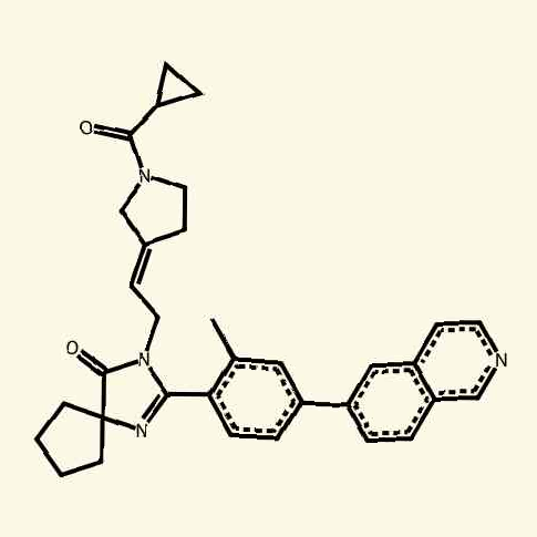 Cc1cc(-c2ccc3cnccc3c2)ccc1C1=NC2(CCCC2)C(=O)N1C/C=C1\CCN(C(=O)C2CC2)C1